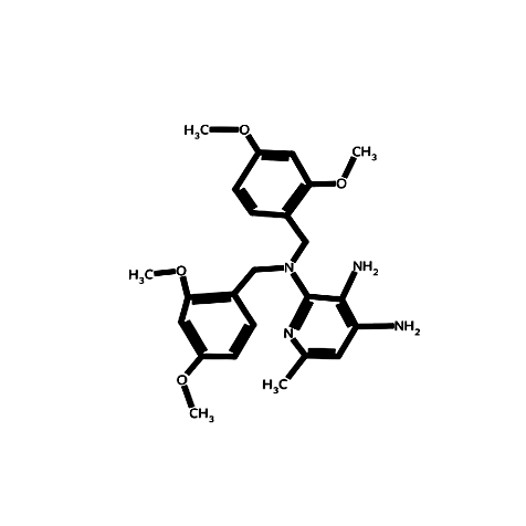 COc1ccc(CN(Cc2ccc(OC)cc2OC)c2nc(C)cc(N)c2N)c(OC)c1